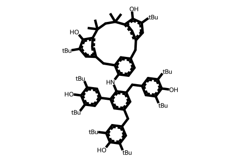 CC(C)(C)c1cc(Cc2cc(Cc3cc(C(C)(C)C)c(O)c(C(C)(C)C)c3)c(Nc3ccc4cc3Cc3cc(C(C)(C)C)c(O)c(c3)C(C)(C)CC(C)(C)c3cc(cc(C(C)(C)C)c3O)C4)c(-c3cc(C(C)(C)C)c(O)c(C(C)(C)C)c3)c2)cc(C(C)(C)C)c1O